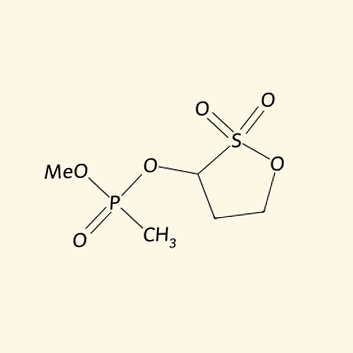 COP(C)(=O)OC1CCOS1(=O)=O